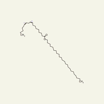 CCCCC/C=C\C/C=C\CCCCCCCC(=O)OCCCCCCCCCCCCCCCCCCCCCCCC